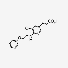 O=C(O)C=Cc1cnc(NCCOc2ccccc2)c(Cl)c1